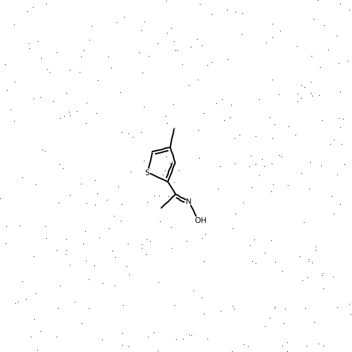 CC(=NO)c1cc(C)cs1